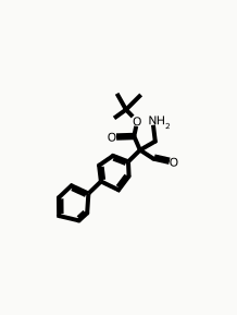 CC(C)(C)OC(=O)C(C=O)(CN)c1ccc(-c2ccccc2)cc1